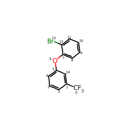 FC(F)(F)c1cccc(Oc2ccccc2Br)c1